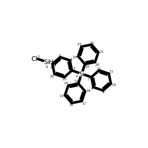 [SiH3]Cl.c1ccc([Si](c2ccccc2)(c2ccccc2)c2ccccc2)cc1